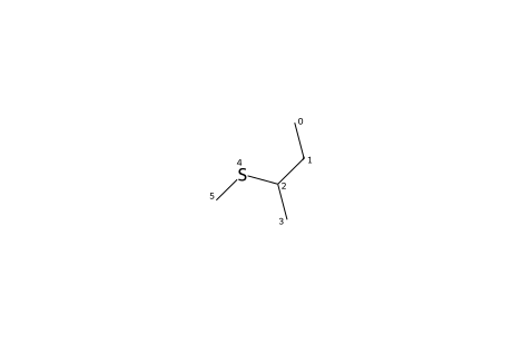 CCC(C)SC